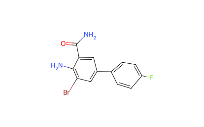 NC(=O)c1cc(-c2ccc(F)cc2)cc(Br)c1N